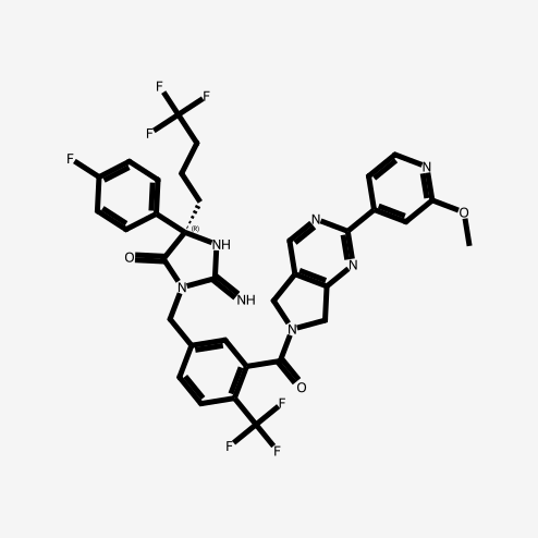 COc1cc(-c2ncc3c(n2)CN(C(=O)c2cc(CN4C(=N)N[C@](CCCC(F)(F)F)(c5ccc(F)cc5)C4=O)ccc2C(F)(F)F)C3)ccn1